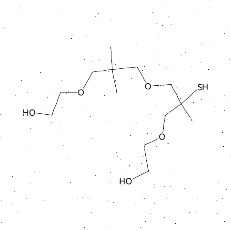 CC(C)(COCCO)COCC(C)(S)COCCO